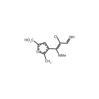 CN/C(=C(/Cl)C=N)c1cc(C(=O)O)oc1C